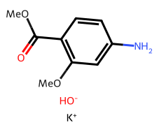 COC(=O)c1ccc(N)cc1OC.[K+].[OH-]